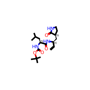 C=C[C@H](C[C@@H]1CCNC1=O)NC(=O)[C@H](CC(C)C)NC(=O)OC(C)(C)C